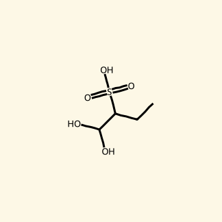 CCC(C(O)O)S(=O)(=O)O